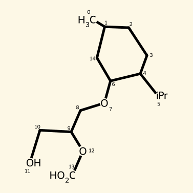 CC1CCC(C(C)C)C(OCC(CO)OC(=O)O)C1